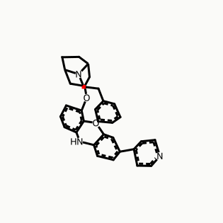 c1ccc(CCN2C3CCC2CC(Oc2cccc4c2Oc2cc(-c5ccncc5)ccc2N4)C3)cc1